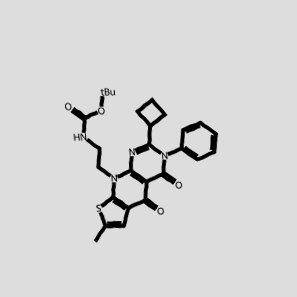 Cc1cc2c(=O)c3c(=O)n(-c4ccccc4)c(C4CCC4)nc3n(CCNC(=O)OC(C)(C)C)c2s1